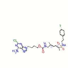 C/C(=C\C=C(/C)S(=O)(=O)NCCc1ccc(F)cc1)CNC(=O)OCCCCn1cnc2c(N)nc(Cl)nc21